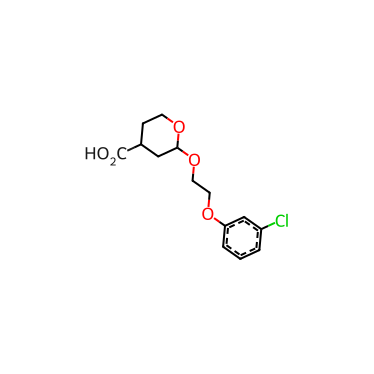 O=C(O)C1CCOC(OCCOc2cccc(Cl)c2)C1